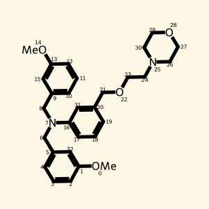 COc1cccc(CN(Cc2cccc(OC)c2)c2cccc(COCCN3CCOCC3)c2)c1